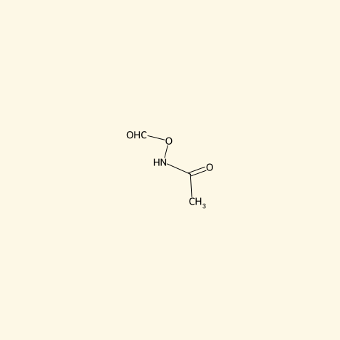 CC(=O)NOC=O